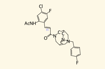 CC(=O)Nc1cc(Cl)c(F)cc1/C=C/C(=O)N1CC2CN(C)CC(CN(Cc3ccc(F)cc3)C2)C1